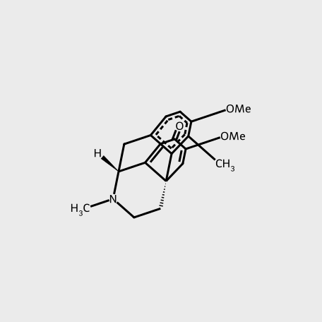 COC1=C[C@]23CCN(C)[C@H](Cc4ccc(OC)c(C)c42)C3=CC1=O